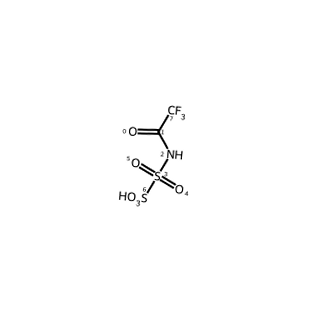 O=C(NS(=O)(=O)S(=O)(=O)O)C(F)(F)F